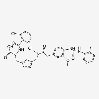 COc1cc(CC(=O)N(C)Cc2ccn(CC(NC(=O)c3c(Cl)cccc3Cl)C(=O)O)c2)ccc1NC(=O)Nc1ccccc1C